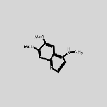 COc1cc2nccc(NN)c2cc1OC